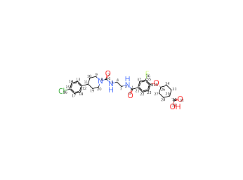 O=C(NCCNC(=O)N1CCC(c2ccc(Cl)cc2)CC1)c1ccc(O[C@H]2CC[C@@H](C(=O)O)CC2)c(F)c1